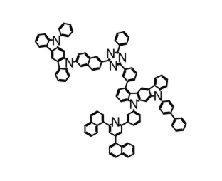 c1ccc(-c2ccc(-n3c4ccccc4c4cc5c6c(-c7cccc(-c8nc(-c9ccccc9)nc(-c9ccc%10cc(-n%11c%12ccccc%12c%12cc%13c%14ccccc%14n(-c%14ccccc%14)c%13cc%12%11)ccc%10c9)n8)c7)cccc6n(-c6cccc(-c7cc(-c8cccc9ccccc89)cc(-c8cccc9ccccc89)n7)c6)c5cc43)cc2)cc1